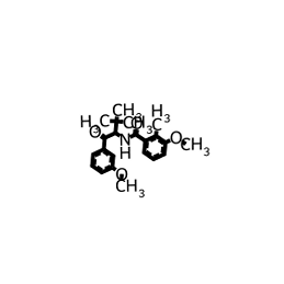 COc1cccc(C(=O)C(NC(=O)c2cccc(OC)c2C)C(C)(C)C)c1